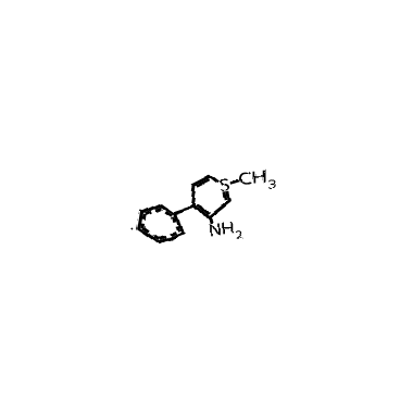 CS1=CC(N)=C(c2cc[c]cc2)C=C1